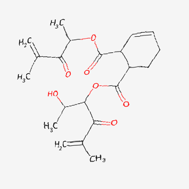 C=C(C)C(=O)C(C)OC(=O)C1C=CCCC1C(=O)OC(C(=O)C(=C)C)C(C)O